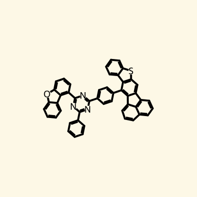 c1ccc(-c2nc(-c3ccc(-c4c5c(cc6sc7ccccc7c46)-c4cccc6cccc-5c46)cc3)nc(-c3cccc4oc5ccccc5c34)n2)cc1